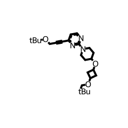 CC(C)(C)COC1CC(OC2CCN(c3nccc(C#CCOC(C)(C)C)n3)CC2)C1